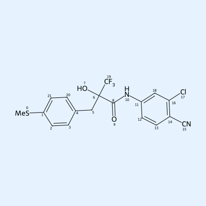 CSc1ccc(CC(O)(C(=O)Nc2ccc(C#N)c(Cl)c2)C(F)(F)F)cc1